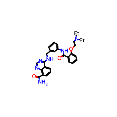 CCN(CC)CCOc1ccccc1C(=O)Nc1cccc(CNc2ncnc3c(C(N)=O)cccc23)c1